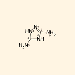 NC1=NNC(N)N1